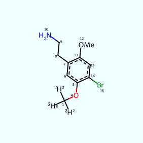 [2H]C([2H])([2H])Oc1cc(CCN)c(OC)cc1Br